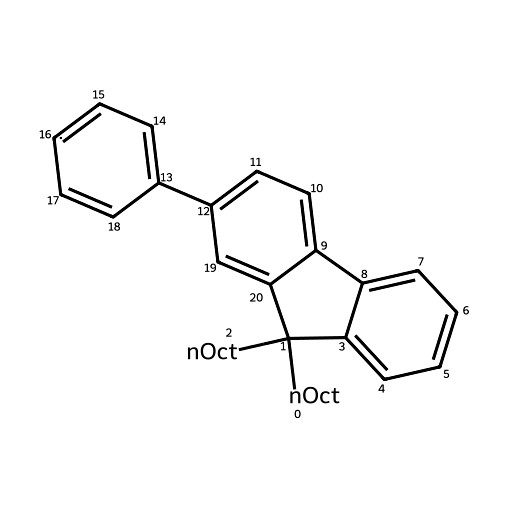 CCCCCCCCC1(CCCCCCCC)c2ccccc2-c2ccc(-c3cc[c]cc3)cc21